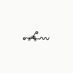 CC/C=C\C/C=C\C/C=C\C/C=C\C/C=C\CCCC(=O)OCC(COC(=O)CCCc1ccccc1)OC(=O)CCCc1ccccc1